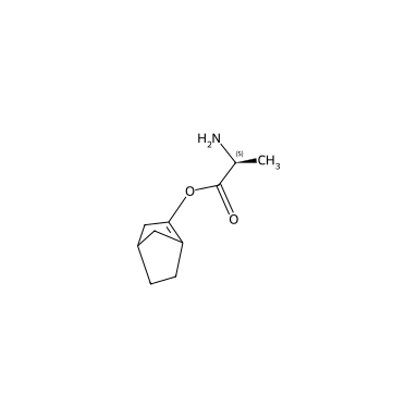 C[C@H](N)C(=O)OC1=C2CCC(C2)C1